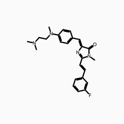 CN(C)CCN(C)c1ccc(/C=C2N=C(/C=C/c3cccc(F)c3)N(C)C\2=O)cc1